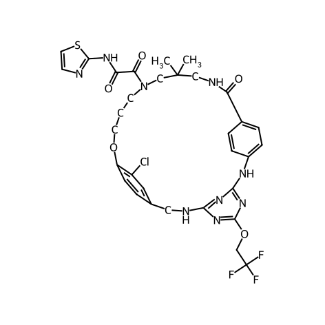 CC1(C)CNC(=O)c2ccc(cc2)Nc2nc(nc(OCC(F)(F)F)n2)NCc2ccc(c(Cl)c2)OCCCN(C(=O)C(=O)Nc2nccs2)C1